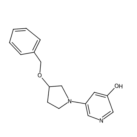 Oc1cncc(N2CCC(OCc3ccccc3)C2)c1